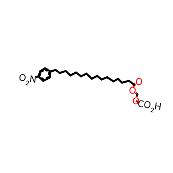 O=C(O)OCOC(=O)CCCCCCCCCCCCCCCc1ccc([N+](=O)[O-])cc1